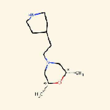 C[C@@H]1CN(CCC2CCNCC2)C[C@H](C)O1